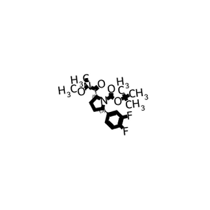 CON(C)C(=O)[C@H]1CC[C@@H](c2ccc(F)c(F)c2)N1C(=O)OC(C)(C)C